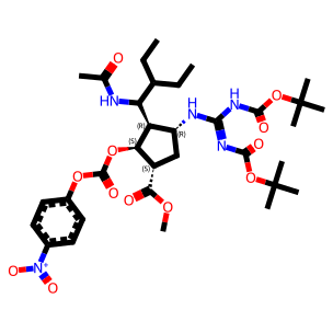 CCC(CC)C(NC(C)=O)[C@@H]1[C@H](OC(=O)Oc2ccc([N+](=O)[O-])cc2)[C@@H](C(=O)OC)C[C@H]1NC(=NC(=O)OC(C)(C)C)NC(=O)OC(C)(C)C